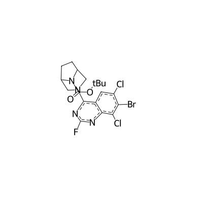 CC(C)(C)OC(=O)N1C2CCC1CN(c1nc(F)nc3c(Cl)c(Br)c(Cl)cc13)C2